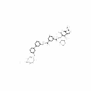 CCc1nc2c(cnn2CC)c(NC2CCOCC2)c1CNC(=O)c1cc(C)cc(C(=O)NCc2cccc(-c3cccc(CN4CCCN(C)CC4)c3)c2)c1